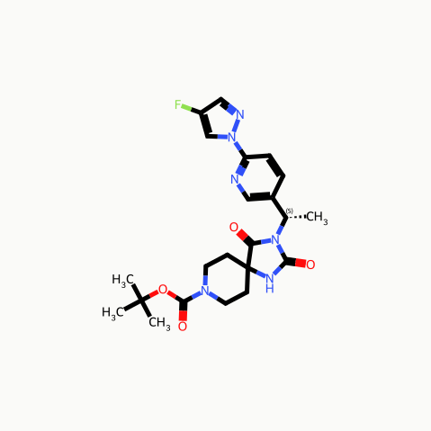 C[C@@H](c1ccc(-n2cc(F)cn2)nc1)N1C(=O)NC2(CCN(C(=O)OC(C)(C)C)CC2)C1=O